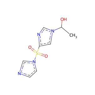 CC(O)n1cnc(S(=O)(=O)n2ccnc2)c1